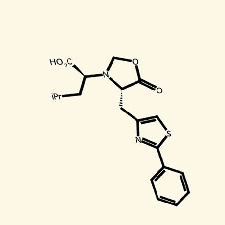 CC(C)C[C@@H](C(=O)O)N1COC(=O)[C@@H]1Cc1csc(-c2ccccc2)n1